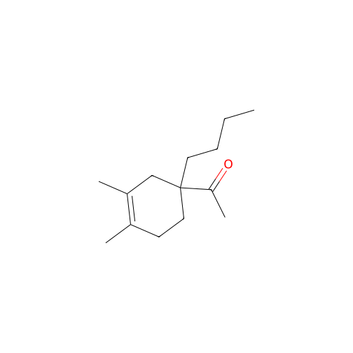 CCCCC1(C(C)=O)CCC(C)=C(C)C1